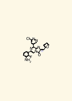 Nc1cccc(C2=CN3C(=O)/C(=C/c4ccco4)N=C3C(c3cnnc(Cl)c3)=N2)c1F